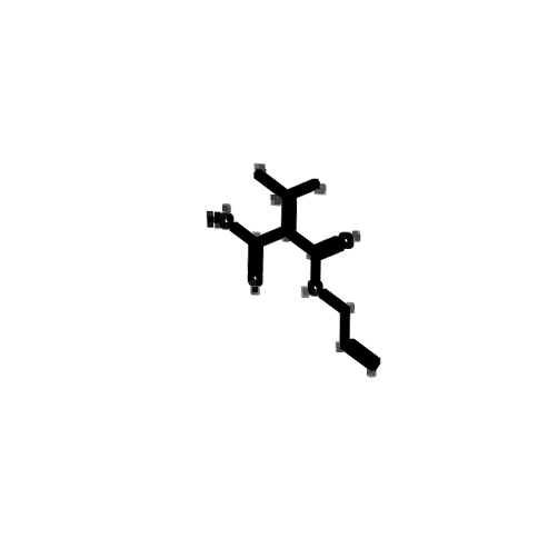 C=CCOC(=O)C(C(=O)O)=C(C)C